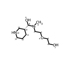 CN(CCOCCO)C(O)[C@@H]1CCCNC1